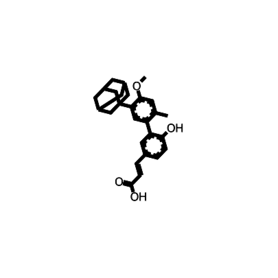 COc1cc(C)c(-c2cc(/C=C/C(=O)O)ccc2O)cc1C12CC3CC(CC(C3)C1)C2